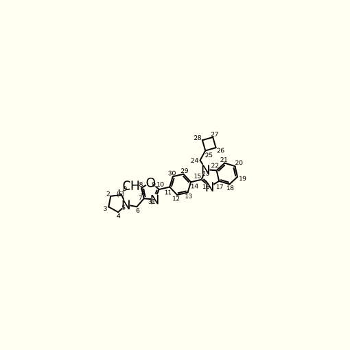 C[C@H]1CCCN1Cc1coc(-c2ccc(-c3nc4ccccc4n3CC3CCC3)cc2)n1